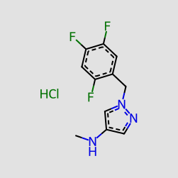 CNc1cnn(Cc2cc(F)c(F)cc2F)c1.Cl